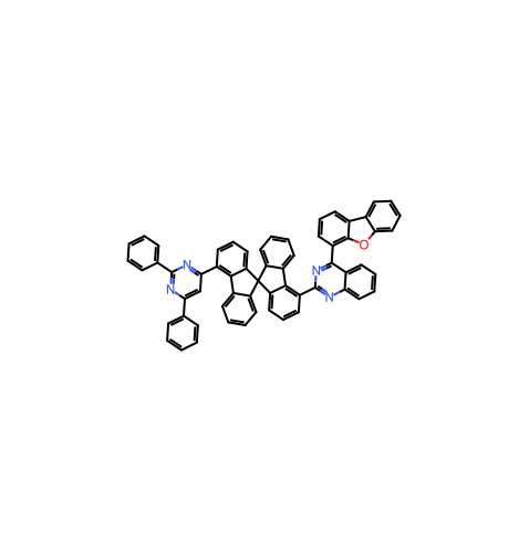 c1ccc(-c2cc(-c3cccc4c3-c3ccccc3C43c4ccccc4-c4c(-c5nc(-c6cccc7c6oc6ccccc67)c6ccccc6n5)cccc43)nc(-c3ccccc3)n2)cc1